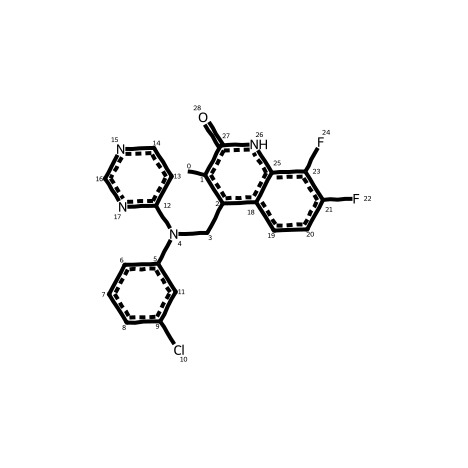 Cc1c(CN(c2cccc(Cl)c2)c2ccncn2)c2ccc(F)c(F)c2[nH]c1=O